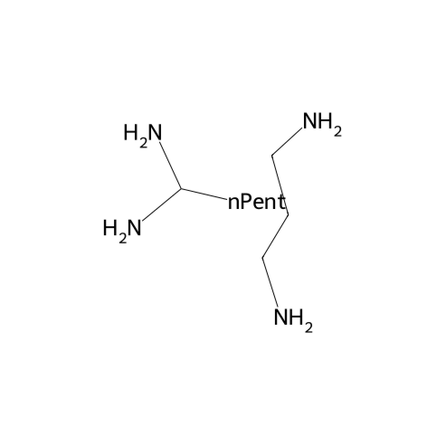 CCCCCC(N)N.NCCCN